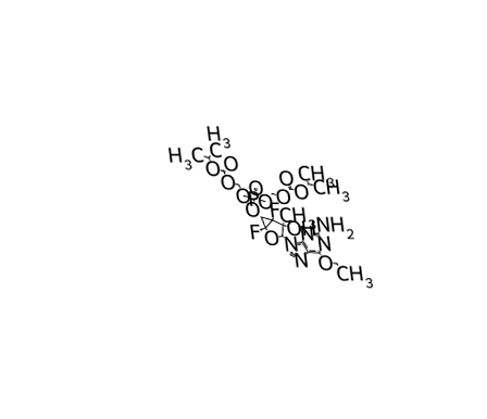 CCOc1nc(N)nc2c1ncn2[C@@H]1O[C@]2(F)C(OP(=O)(OCOC(=O)OC(C)C)OCOC(=O)OC(C)C)[C@]2(F)[C@@]1(C)O